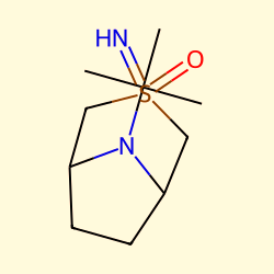 CC(C)(C)N1C2CCC1CS(=N)(=O)C2